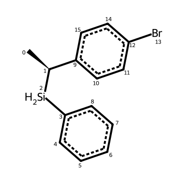 C[C@H]([SiH2]c1ccccc1)c1ccc(Br)cc1